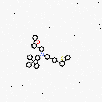 c1ccc(C2(c3ccccc3)c3ccccc3-c3cc(N(c4ccc(-c5ccc(-c6cccc7c6sc6ccccc67)cc5)cc4)c4cccc(-c5cccc6c5oc5ccccc56)c4)ccc32)cc1